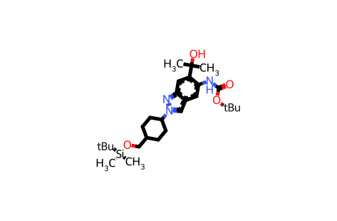 CC(C)(C)OC(=O)Nc1cc2cn(C3CCC(CO[Si](C)(C)C(C)(C)C)CC3)nc2cc1C(C)(C)O